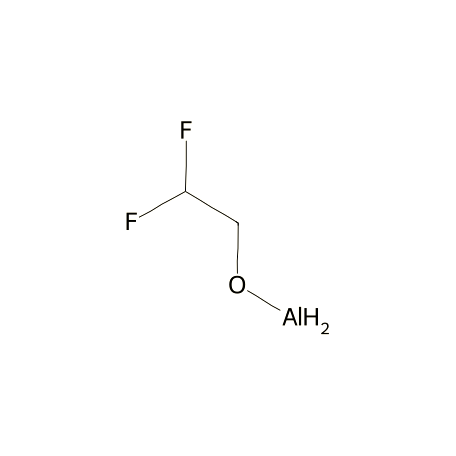 FC(F)C[O][AlH2]